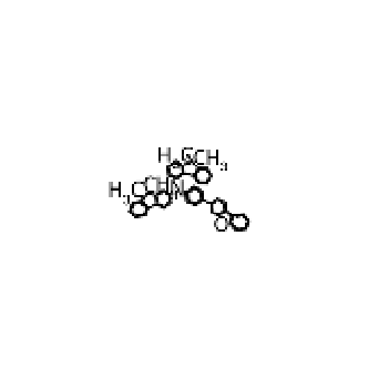 CC1(C)c2ccccc2-c2ccc(N(c3ccc(-c4ccc5c(c4)oc4ccccc45)cc3)c3cccc4c3-c3ccccc3C4(C)C)cc21